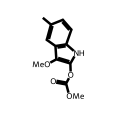 COC(=O)Oc1[nH]c2ccc(C)cc2c1OC